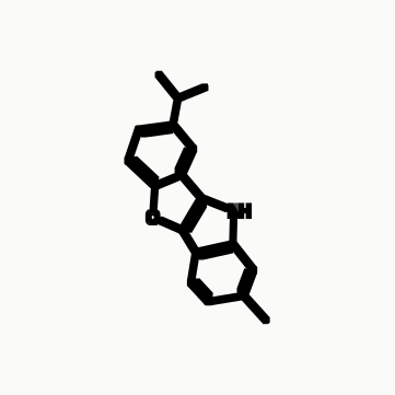 Cc1ccc2c(c1)[nH]c1c3cc(C(C)C)ccc3oc21